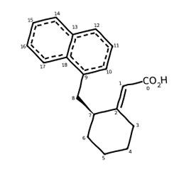 O=C(O)C=C1CCCC[C@H]1Cc1cccc2ccccc12